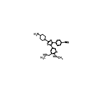 CNCc1cc(-c2sc(N3CCC(N)CC3)nc2-c2ccc(C#N)cc2)cnc1NC